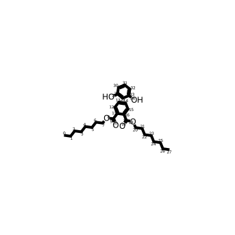 CCCCCCCCOC(=O)c1ccccc1C(=O)OCCCCCCCC.Oc1cccc(O)c1